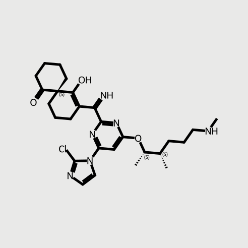 CNCCC[C@H](C)[C@H](C)Oc1cc(-n2ccnc2Cl)nc(C(=N)C2=C(O)[C@]3(CCCCC3=O)CCC2)n1